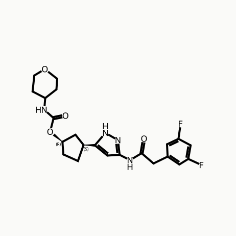 O=C(Cc1cc(F)cc(F)c1)Nc1cc([C@H]2CC[C@@H](OC(=O)NC3CCOCC3)C2)[nH]n1